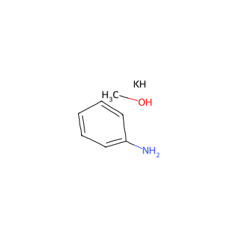 CO.Nc1ccccc1.[KH]